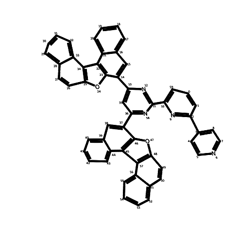 c1cc(-c2ccncc2)nc(-c2nc(-c3cc4ccccc4c4c3oc3ccc5ccccc5c34)cc(-c3cc4ccccc4c4c3oc3ccc5ccccc5c34)n2)c1